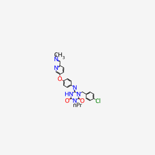 CCCn1c(=O)[nH]/c(=N\c2ccc(Oc3ccc(/C=N/C)nc3)cc2)n(Cc2ccc(Cl)cc2)c1=O